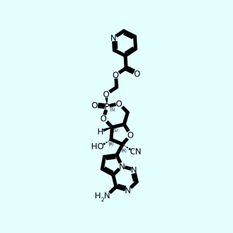 N#C[C@@]1(c2ccc3c(N)ncnn23)OC2CO[P@](=O)(OCOC(=O)c3cccnc3)O[C@H]2[C@H]1O